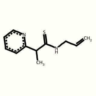 C=CCNC(=S)C(C)c1ccccn1